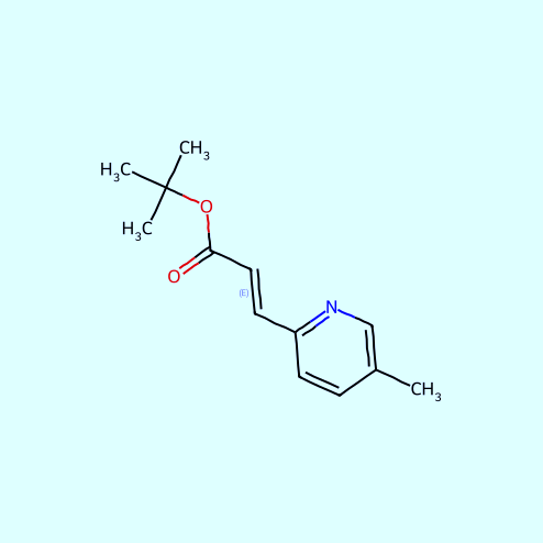 Cc1ccc(/C=C/C(=O)OC(C)(C)C)nc1